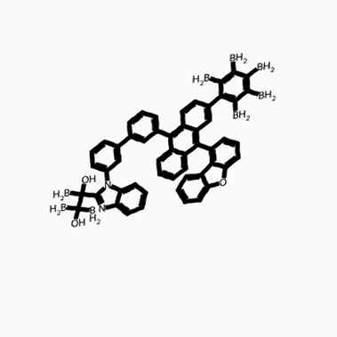 Bc1c(B)c(B)c(-c2ccc3c(-c4cccc(-c5cccc(-n6c(C(B)(O)C(B)(B)O)nc7ccccc76)c5)c4)c4ccccc4c(-c4cccc5oc6ccccc6c45)c3c2)c(B)c1B